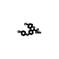 COC(=O)C(Oc1ccc(Cl)cc1)c1ccc(Oc2ccc(Cl)cc2)cc1